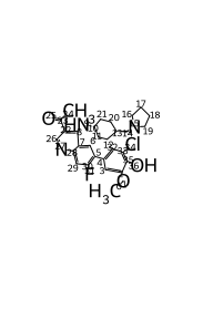 COc1cc(-c2cc3c(N[C@H]4CC[C@H](CN5CCCC5)CC4)c(C(C)=O)cnc3cc2F)cc(Cl)c1O